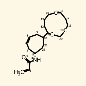 C=CC(=O)N[C@@H]1C/C=C\CC(C2CCCCCCCCCC2)CC1